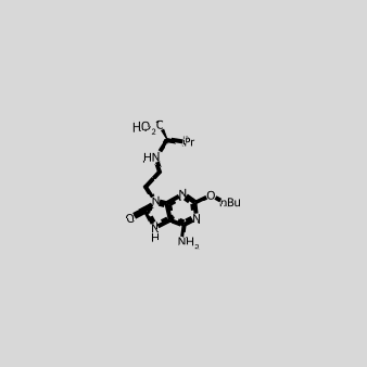 CCCCOc1nc(N)c2[nH]c(=O)n(CCN[C@@H](C(=O)O)C(C)C)c2n1